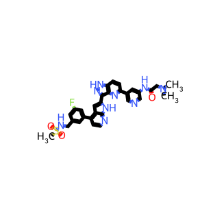 CN(C)CC(=O)Nc1cncc(-c2ccc3[nH]nc(-c4cc5c(-c6cc(F)cc(CNS(C)(=O)=O)c6)ccnc5[nH]4)c3n2)c1